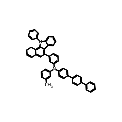 Cc1cccc(N(c2ccc(-c3ccc(-c4ccccc4)cc3)cc2)c2cccc(-c3cc4c(c5c3c3ccccc3n5-c3ccccc3)CCC=C4)c2)c1